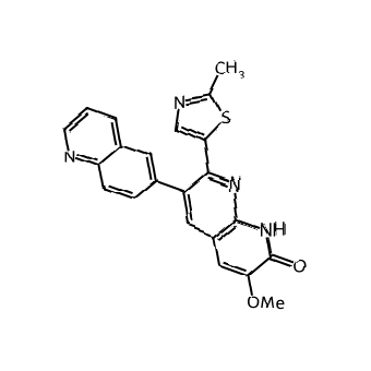 COc1cc2cc(-c3ccc4ncccc4c3)c(-c3cnc(C)s3)nc2[nH]c1=O